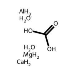 O.O.O=C(O)O.[AlH3].[CaH2].[MgH2]